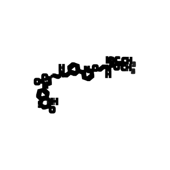 CC(C)(C)OC(=O)NCCOc1cccc(-c2cccc(CNCC[C@@H]3CN(c4ccc5c(c4)NC(=O)CS5)C(=O)O3)c2)n1